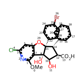 COc1nc(Cl)cc2c1[C@]1(O)[C@H](O)[C@H](C(=O)O)[C@@H](c3ccccc3)[C@]1(c1ccc(Br)cc1)O2